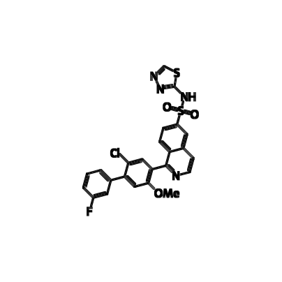 COc1cc(-c2cccc(F)c2)c(Cl)cc1-c1nccc2cc(S(=O)(=O)Nc3nncs3)ccc12